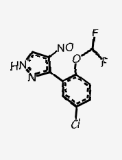 O=Nc1c[nH]nc1-c1cc(Cl)ccc1OC(F)F